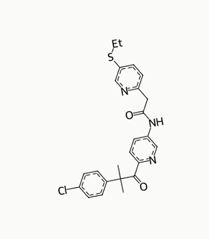 CCSc1ccc(CC(=O)Nc2ccc(C(=O)C(C)(C)c3ccc(Cl)cc3)nc2)nc1